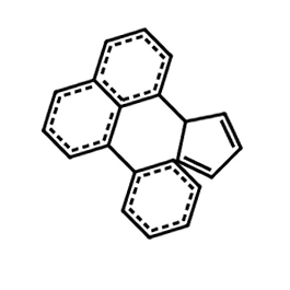 C1=CC(c2cccc3cccc(-c4ccccc4)c23)C=C1